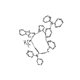 CC1/C=C(N(c2ccccc2)c2ccccc2)\C=C/Cc2ccccc2-c2ccc(N(c3ccccc3)c3ccccc3)cc2-c2ccccc2-c2cc3sc4ccccc4c3cc21